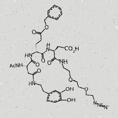 CC(=O)N[C@@H](CC(=O)NCCc1ccc(O)c(O)c1)C(=O)N[C@H](CCC(=O)OCc1ccccc1)C(=O)N[C@@H](CC(=O)O)C(=O)NCCOCCOCCN=[N+]=[N-]